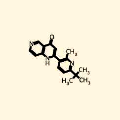 Cc1nc(C(C)(C)C)ccc1-c1cc(=O)c2cnccc2[nH]1